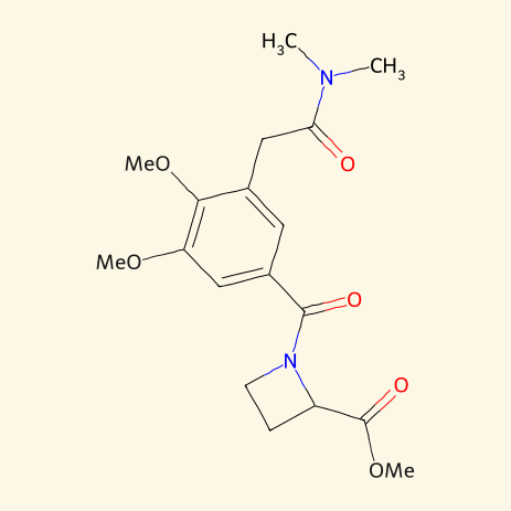 COC(=O)C1CCN1C(=O)c1cc(CC(=O)N(C)C)c(OC)c(OC)c1